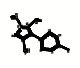 Cc1ccc(-c2c(O)nn(C(C)(C)C)c2C(C)(C)C)cc1